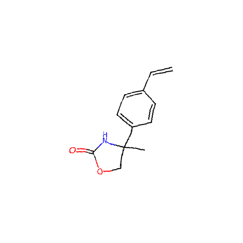 C=Cc1ccc(C2(C)COC(=O)N2)cc1